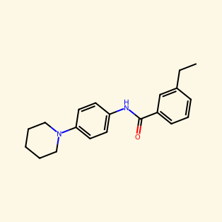 CCc1cccc(C(=O)Nc2ccc(N3CCCCC3)cc2)c1